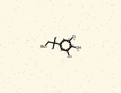 CCc1cc(C(C)(C)CC(C)(C)C)cc(CC)c1O